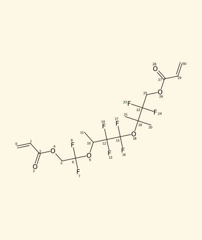 C=CC(=O)OCC(F)(F)OC(C)C(F)(F)C(F)(F)OC(C)(C)C(F)(F)COC(=O)C=C